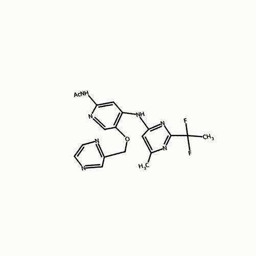 CC(=O)Nc1cc(Nc2cc(C)nc(C(C)(F)F)n2)c(OCc2cnccn2)cn1